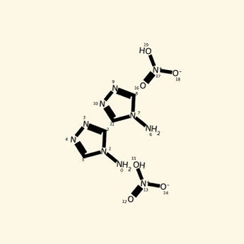 Nn1cnnc1.Nn1cnnc1.O=[N+]([O-])O.O=[N+]([O-])O